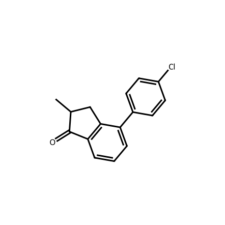 CC1Cc2c(cccc2-c2ccc(Cl)cc2)C1=O